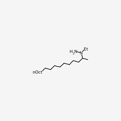 CCCCCCCCCCCCCCCCC(C)N(N)CC